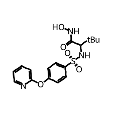 CC(C)(C)C(NS(=O)(=O)c1ccc(Oc2ccccn2)cc1)C(=O)NO